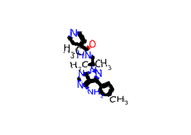 Cc1ccc(-c2nn(C(C)(C)CNC(=O)C3(C)C=CN=CC3)c3ncnc(N)c23)cc1